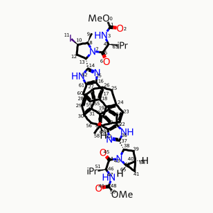 COC(=O)N[C@H](C(=O)N1[C@H](C)[C@H](I)C[C@H]1c1nc2cc(-c3cc4ccc3CCc3ccc(c(-c5ccc6[nH]c([C@@H]7C[C@H]8C[C@H]8N7C(=O)[C@@H](NC(=O)OC)C(C)C)nc6c5)c3)C[C@H]4C)ccc2[nH]1)C(C)C